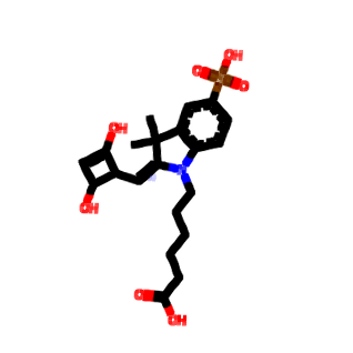 CC1(C)/C(=C\C2C(O)=CC2O)N(CCCCCC(=O)O)c2ccc(S(=O)(=O)O)cc21